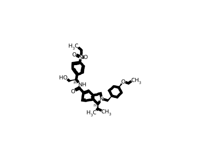 CCO[C@H]1CC[C@@H](CN2Cc3cc(C(=O)N[C@@H](CO)c4ccc(S(=O)(=O)CC)cc4)ccc3[C@@H]2C(C)C)CC1